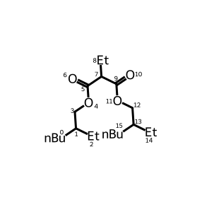 CCCCC(CC)COC(=O)C(CC)C(=O)OCC(CC)CCCC